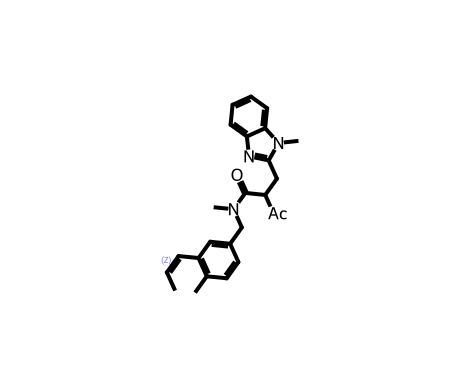 C/C=C\c1cc(CN(C)C(=O)C(Cc2nc3ccccc3n2C)C(C)=O)ccc1C